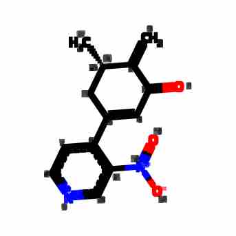 C=C1C(=O)C=C(c2ccncc2[N+](=O)[O-])C[C@@H]1C